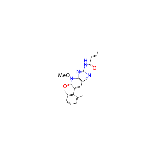 C/C=C/C(=O)Nc1ncc2cc(-c3c(C)cccc3C)c(=O)n(OC)c2n1